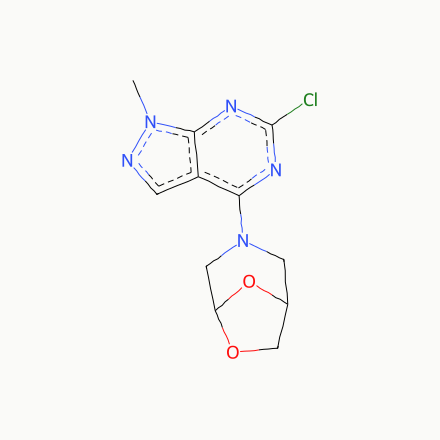 Cn1ncc2c(N3CC4COC(C3)O4)nc(Cl)nc21